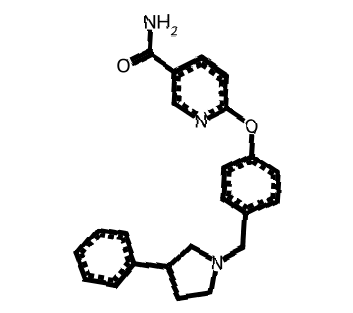 NC(=O)c1ccc(Oc2ccc(CN3CCC(c4ccccc4)C3)cc2)nc1